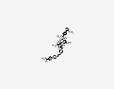 Cc1ncsc1-c1ccc([C@H](C)NC(=O)[C@@H]2C[C@@H](O)CN2C(=O)[C@@H](NC(=O)CN2CCN(CCCN3CCN(c4ccc(C(N)=O)cn4)CC3)CC2)C(C)(C)C)cc1